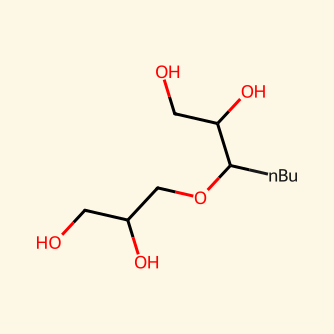 CCCCC(OCC(O)CO)C(O)CO